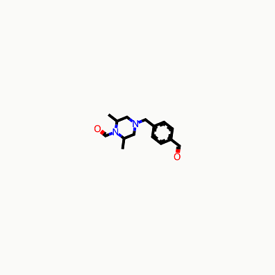 CC1CN(Cc2ccc(C=O)cc2)CC(C)N1C=O